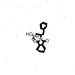 O=C1c2ccccc2C(=O)N1C(Cc1ccccc1)C[PH](=O)O